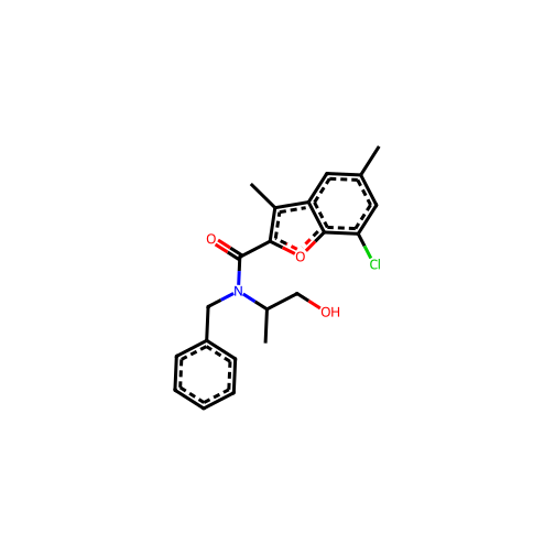 Cc1cc(Cl)c2oc(C(=O)N(Cc3ccccc3)C(C)CO)c(C)c2c1